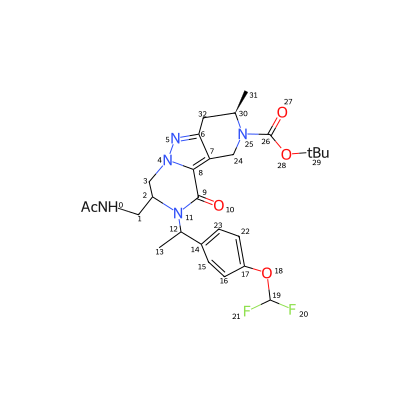 CC(=O)NCC1Cn2nc3c(c2C(=O)N1C(C)c1ccc(OC(F)F)cc1)CN(C(=O)OC(C)(C)C)[C@H](C)C3